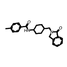 Cc1ccc(C(=O)NC2CCC(CN3Cc4ccccc4C3=O)CC2)cc1